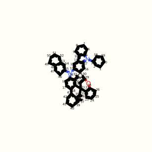 c1ccc(-n2c3ccccc3c3cc(N(c4ccc5c(c4)C4(c6ccccc6Oc6ccccc64)c4cccc6cccc-5c46)c4ccc5ccccc5c4)ccc32)cc1